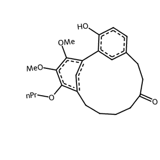 CCCOc1c2cc(c(OC)c1OC)-c1cc(ccc1O)CCC(=O)CCCC2